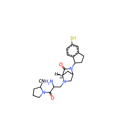 N#CC1CCCN1C(=O)C(N)CN1CC2C[C@H]1C(=O)N2C1CCc2cc(S)ccc21